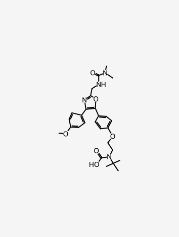 COc1ccc(-c2nc(CNC(=O)N(C)C)oc2-c2ccc(OCCN(C(=O)O)C(C)(C)C)cc2)cc1